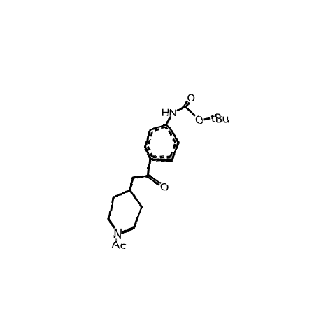 CC(=O)N1CCC(CC(=O)c2ccc(NC(=O)OC(C)(C)C)cc2)CC1